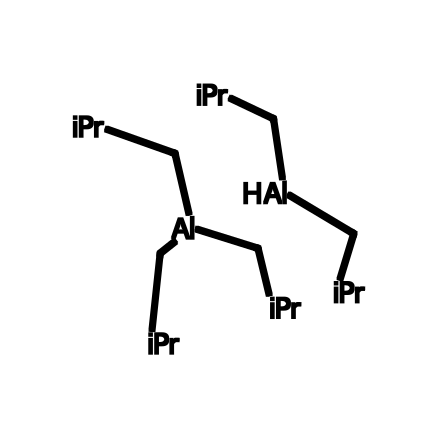 CC(C)[CH2][AlH][CH2]C(C)C.CC(C)[CH2][Al]([CH2]C(C)C)[CH2]C(C)C